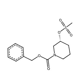 CS(=O)(=O)O[C@@H]1CCCN(C(=O)OCc2ccccc2)C1